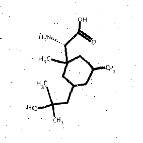 CC1CC(CC(C)(C)O)CC(C)([C@H](N)C(=O)O)C1